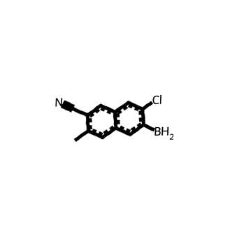 Bc1cc2cc(C)c(C#N)cc2cc1Cl